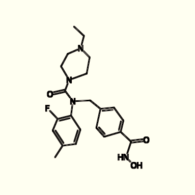 CCN1CCN(C(=O)N(Cc2ccc(C(=O)NO)cc2)c2ccc(C)cc2F)CC1